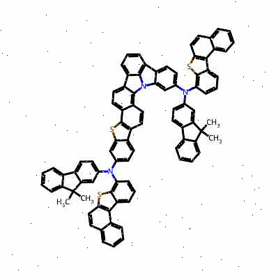 CC1(C)c2ccccc2-c2ccc(N(c3ccc4c(c3)sc3c4ccc4c3ccc3c5cccc6c7ccc(N(c8ccc9c(c8)C(C)(C)c8ccccc8-9)c8cccc9c8sc8ccc%10ccccc%10c89)cc7n(c43)c65)c3cccc4c3sc3ccc5ccccc5c34)cc21